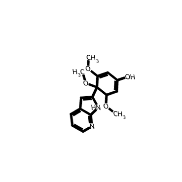 COC1=CC(O)=CC(OC)C1(OC)c1cc2cccnc2[nH]1